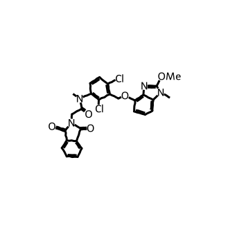 COc1nc2c(OCc3c(Cl)ccc(N(C)C(=O)CN4C(=O)c5ccccc5C4=O)c3Cl)cccc2n1C